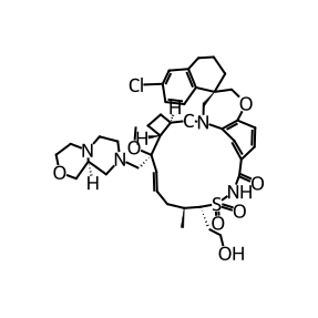 CO[C@]1(CN2CCN3CCOC[C@@H]3C2)/C=C/C[C@H](C)[C@@H](CCO)S(=O)(=O)NC(=O)c2ccc3c(c2)N(C[C@@H]2CC[C@H]21)C[C@@]1(CCCc2cc(Cl)ccc21)CO3